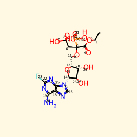 CCOC(=O)[C@](CC(=O)O)(OC[C@H]1O[C@@H](n2cnc3c(N)nc(F)nc32)[C@H](O)[C@H]1O)P(=O)(O)O